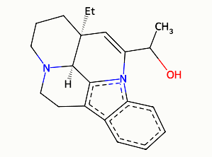 CC[C@@]12C=C(C(C)O)n3c4c(c5ccccc53)CCN(CCC1)[C@H]42